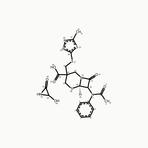 CC(=O)N(c1ccccc1)C1C(=O)N2CC(CSc3nnc(C)s3)(C(=O)O)CS[C@H]12.O=C1NC1O